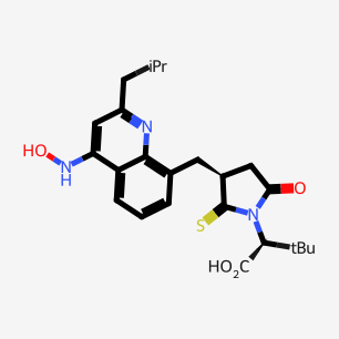 CC(C)Cc1cc(NO)c2cccc(C[C@H]3CC(=O)N([C@H](C(=O)O)C(C)(C)C)C3=S)c2n1